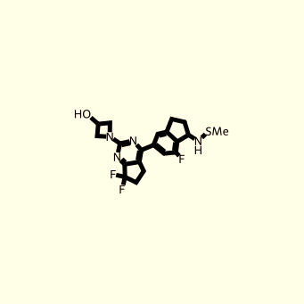 CSNC1CCc2cc(-c3nc(N4CC(O)C4)nc4c3CCC4(F)F)cc(F)c21